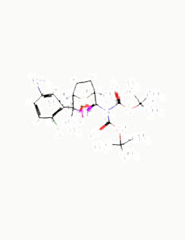 CC(C)(C)OC(=O)N(C(=O)OC(C)(C)C)C1=N[C@](C)(c2cc(N)ccc2F)[C@]2(C)CC[C@@]1(C)S2(=O)=O